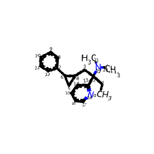 CCC(CC1CC1c1ccccc1)(c1ccccn1)N(C)C